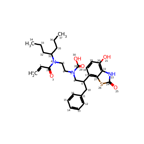 C=CC(=O)N(CCN(CC(Cc1ccccc1)c1ccc(O)c2[nH]c(=O)sc12)C(=O)O)C(CCC)CCC